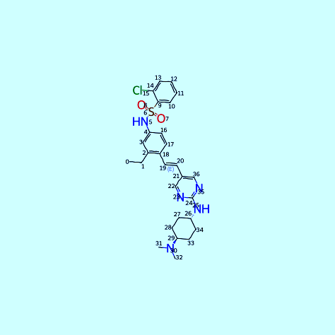 CCc1cc(NS(=O)(=O)c2ccccc2Cl)ccc1/C=C/c1cnc(N[C@H]2CC[C@H](N(C)C)CC2)nc1